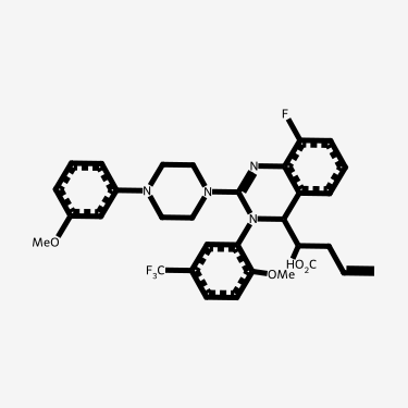 C=CCC(C(=O)O)C1c2cccc(F)c2N=C(N2CCN(c3cccc(OC)c3)CC2)N1c1cc(C(F)(F)F)ccc1OC